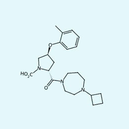 Cc1ccccc1O[C@H]1C[C@H](C(=O)N2CCCN(C3CCC3)CC2)N(C(=O)O)C1